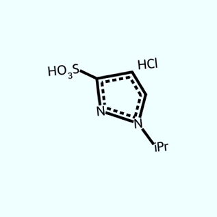 CC(C)n1ccc(S(=O)(=O)O)n1.Cl